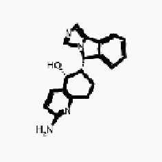 Nc1ccc2c(n1)CC[C@@H](C1c3ccccc3-c3cncn31)[C@H]2O